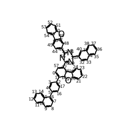 C1=C(c2ccc(-c3cccc4ccccc34)cc2)C2Oc3ccccc3C2C(c2nc(-c3ccc4ccccc4c3)nc(-c3ccc4c(c3)oc3ccccc34)n2)=C1